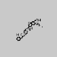 COc1cc2c(cc1CO)OCC1C2=NOC1CN1CCN(C/C(C)=C/c2ccccc2)CC1